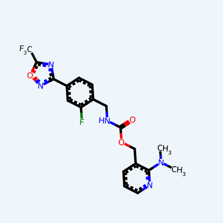 CN(C)c1ncccc1COC(=O)NCc1ccc(-c2noc(C(F)(F)F)n2)cc1F